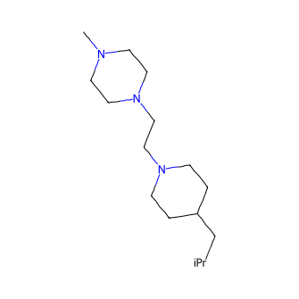 CC(C)CC1CCN(CCN2CCN(C)CC2)CC1